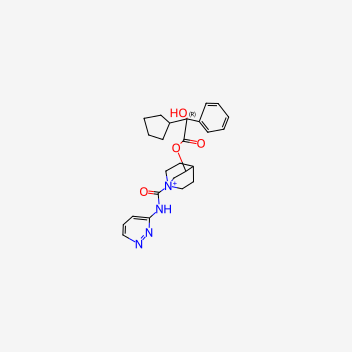 O=C(OC1C[N+]2(C(=O)Nc3cccnn3)CCC1CC2)[C@](O)(c1ccccc1)C1CCCC1